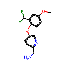 COc1ccc(Oc2ccc(CN)nc2)c(C(F)F)c1